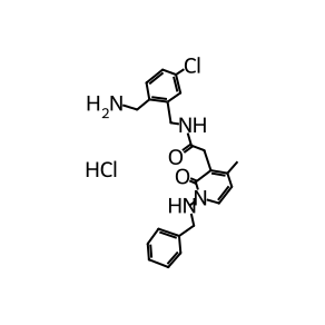 Cc1ccn(NCc2ccccc2)c(=O)c1CC(=O)NCc1cc(Cl)ccc1CN.Cl